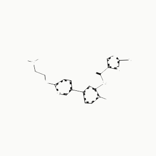 CN(C)CCOc1ccc(-c2ccc(Cl)c(NC(=O)c3coc(N)n3)c2)cn1